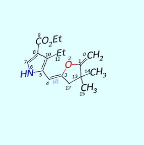 C=C1O/C(=C\c2[nH]cc(C(=O)OCC)c2CC)CC1(C)C